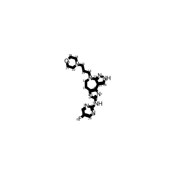 Fc1cnc(Nc2nc3c(s2)CCN(CCCN2CCOCC2)c2n[nH]cc2-3)nc1